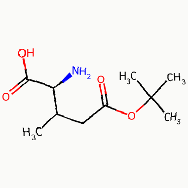 CC(CC(=O)OC(C)(C)C)[C@H](N)C(=O)O